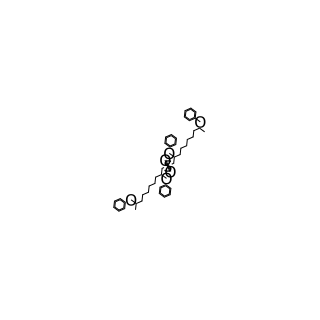 CC(CCCCCCC(CS(=O)(=O)CC(CCCCCCC(C)Oc1ccccc1)Oc1ccccc1)Oc1ccccc1)Oc1ccccc1